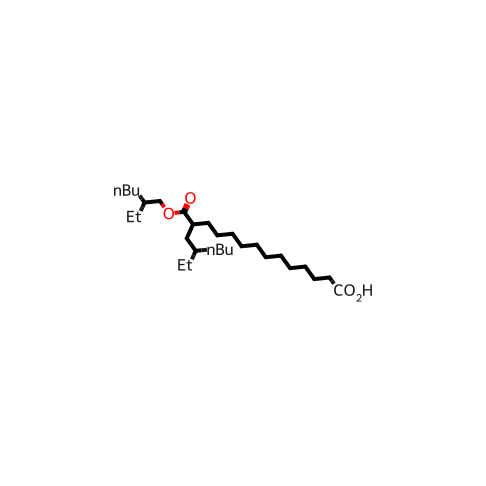 CCCCC(CC)COC(=O)C(CCCCCCCCCCCC(=O)O)CC(CC)CCCC